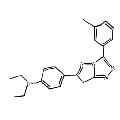 CCN(CC)c1ccc(-c2nn3c(-c4cccc(C)c4)nnc3s2)cc1